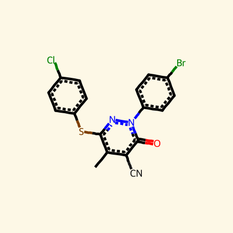 Cc1c(Sc2ccc(Cl)cc2)nn(-c2ccc(Br)cc2)c(=O)c1C#N